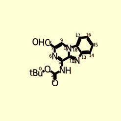 CC(C)(C)OC(=O)Nc1nc(C=O)cn2c1nc1ccccc12